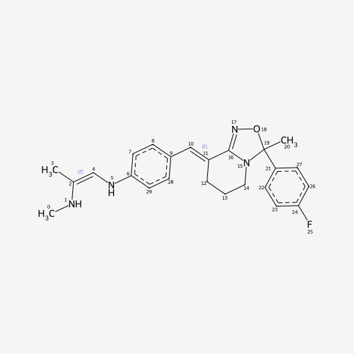 CN/C(C)=C\Nc1ccc(/C=C2\CCCN3C2=NOC3(C)c2ccc(F)cc2)cc1